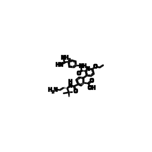 CCOc1ccc(-c2ccc(C(=O)N[C@@H](CCN)C(C)(C)C)cc2C(=O)O)c(C(=O)Nc2ccc(C(=N)N)cc2)n1